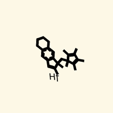 CC1=Cc2cc3c(cc2C1(C)CC1(C)C(C)=C(C)C(C)=C1C)CCCC3.[Hf]